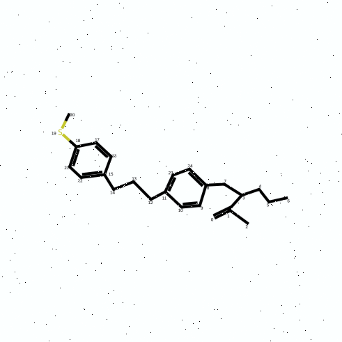 C=C(C)C(CCC)Cc1ccc(CCCc2ccc(SC)cc2)cc1